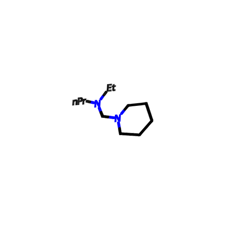 CCCN(CC)CN1CCCCC1